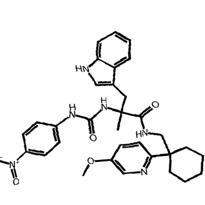 COc1ccc(C2(CNC(=O)C(C)(Cc3c[nH]c4ccccc34)NC(=O)Nc3ccc([N+](=O)[O-])cc3)CCCCC2)nc1